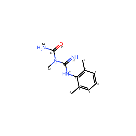 Cc1cccc(C)c1NC(=N)N(C)C(N)=O